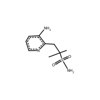 CC(C)(Cc1ncccc1N)S(N)(=O)=O